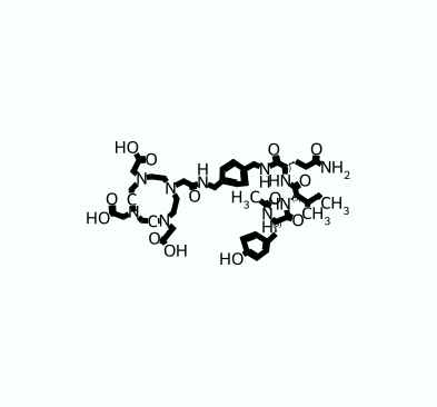 CCC(C)[C@H](NC(=O)[C@H](Cc1ccc(O)cc1)NC(C)=O)C(=O)N[C@@H](CCC(N)=O)C(=O)NCc1ccc(CNC(=O)CN2CCN(CC(=O)O)CCN(CC(=O)O)CCN(CC(=O)O)CC2)cc1